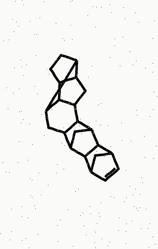 C1=CC2CC1C1C3CC(C4C3CC3C5CCC6C5CC4C63)C21